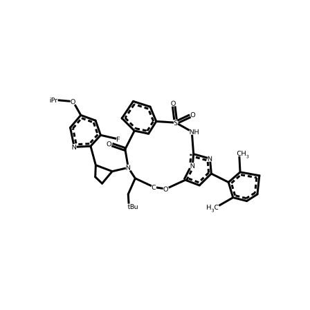 Cc1cccc(C)c1-c1cc2nc(n1)NS(=O)(=O)c1cccc(c1)C(=O)N(C1CCC1c1ncc(OC(C)C)cc1F)C(CC(C)(C)C)CO2